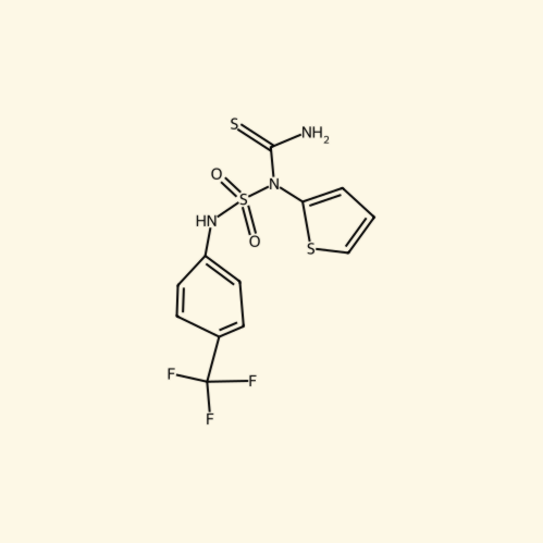 NC(=S)N(c1cccs1)S(=O)(=O)Nc1ccc(C(F)(F)F)cc1